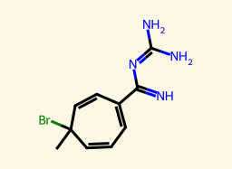 CC1(Br)C=CC=C(C(=N)N=C(N)N)C=C1